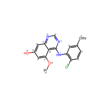 COc1ccc(Cl)c(Nc2ncnc3cc(O)cc(OC(C)C)c23)c1